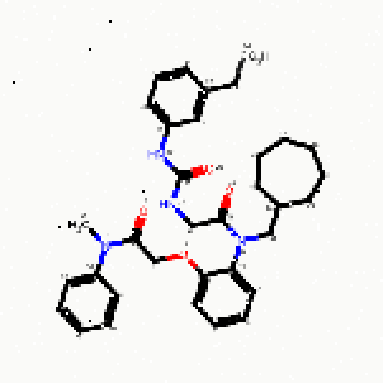 CN(C(=O)COc1ccccc1N(CC1CCCCCC1)C(=O)CNC(=O)Nc1cccc(CC(=O)O)c1)c1ccccc1